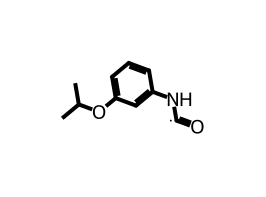 CC(C)Oc1cccc(N[C]=O)c1